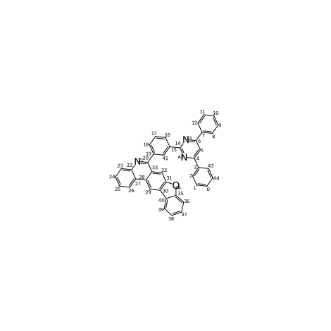 c1ccc(-c2cc(-c3ccccc3)nc(-c3cccc(-c4nc5ccccc5c5cc6c(cc45)oc4ccccc46)c3)n2)cc1